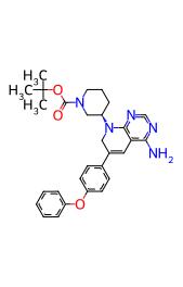 CC(C)(C)OC(=O)N1CCC[C@@H](N2CC(c3ccc(Oc4ccccc4)cc3)=Cc3c(N)ncnc32)C1